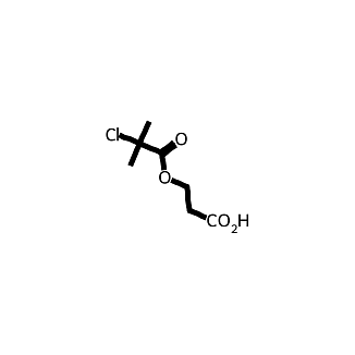 CC(C)(Cl)C(=O)OCCC(=O)O